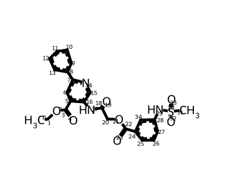 CCOC(=O)c1cc(-c2ccccc2)ncc1NC(=O)COC(=O)c1cccc(NS(C)(=O)=O)c1